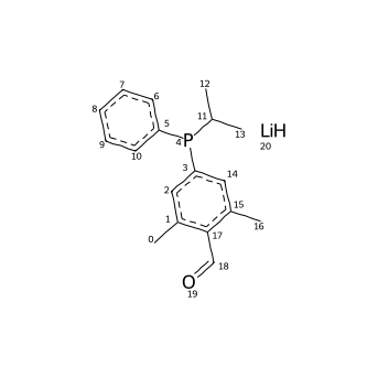 Cc1cc(P(c2ccccc2)C(C)C)cc(C)c1C=O.[LiH]